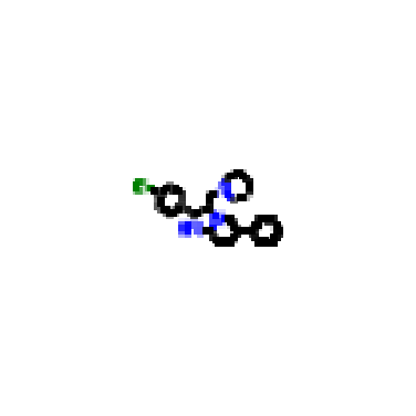 Clc1ccc(C2NC3C=CC(c4ccccc4)=CN3C2CN2CCCCC2)cc1